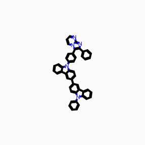 c1ccc(-c2nc3ncccn3c2-c2ccc(-n3c4ccccc4c4cc(-c5ccc6c(c5)c5ccccc5n6-c5ccccc5)ccc43)cc2)cc1